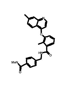 CNC(=O)c1ccc(CNC(=O)c2cccc(Oc3ccnc4cc(C)ccc34)c2C)cc1